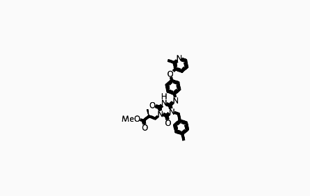 COC(=O)[C@@H](C)Cn1c(=O)[nH]/c(=N\c2ccc(Oc3cccnc3C)cc2)n(Cc2ccc(C)cc2)c1=O